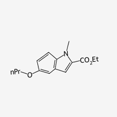 CCCOc1ccc2c(c1)cc(C(=O)OCC)n2C